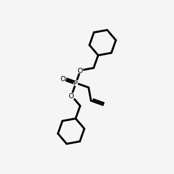 C=CCP(=O)(OCC1CCCCC1)OCC1CCCCC1